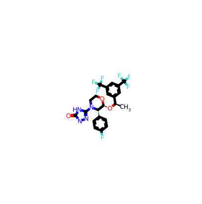 C[C@@H](O[C@H]1OCCN(C2=N[N]C(=O)N2)[C@H]1c1ccc(F)cc1)c1cc(C(F)(F)F)cc(C(F)(F)F)c1